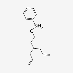 C=CCC(CC=C)CCO[SiH2]c1ccccc1